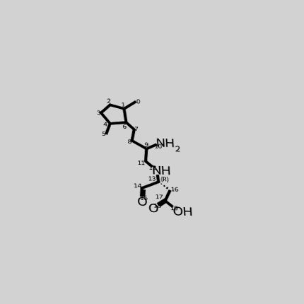 CC1CCC(C)C1CCC(N)CN[C@@H](C=O)CC(=O)O